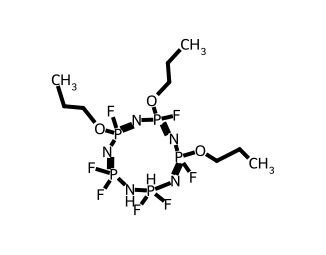 CCCOP1(F)=NP(F)(OCCC)=NP(F)(OCCC)=N[PH](F)(F)NP(F)(F)=N1